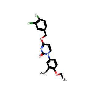 COc1cc(-n2ccc(OCc3ccc(Cl)c(Cl)c3)nc2=O)ccc1OCC(C)(C)C